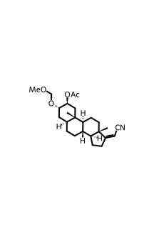 COCO[C@H]1C[C@@H]2CC[C@@H]3[C@H](CC[C@]4(C)/C(=C\C#N)CC[C@@H]34)[C@@]2(C)C[C@@H]1OC(C)=O